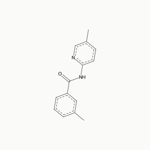 Cc1ccc(NC(=O)c2cccc(C)c2)nc1